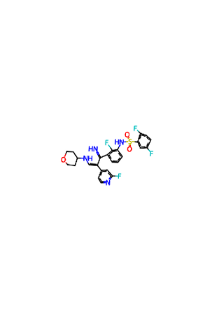 N=C(/C(=C\NC1CCOCC1)c1ccnc(F)c1)c1cccc(NS(=O)(=O)c2cc(F)ccc2F)c1F